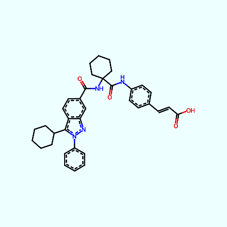 O=C(O)C=Cc1ccc(NC(=O)C2(NC(=O)c3ccc4c(C5CCCCC5)n(-c5ccccc5)nc4c3)CCCCC2)cc1